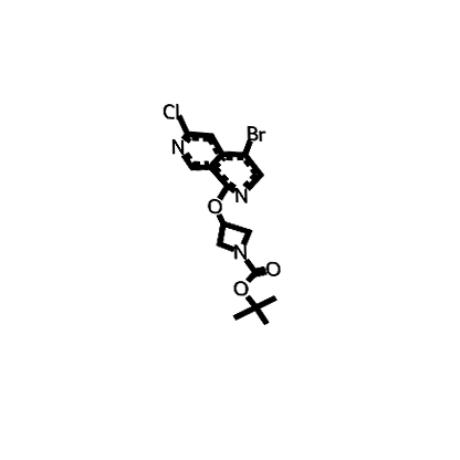 CC(C)(C)OC(=O)N1CC(Oc2ncc(Br)c3cc(Cl)ncc23)C1